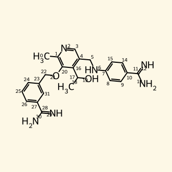 Cc1ncc(CNc2ccc(C(=N)N)cc2)c(C(C)O)c1OCc1cccc(C(=N)N)c1